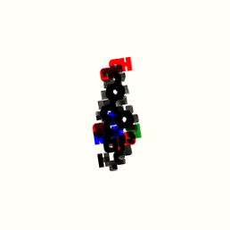 CCOC(=O)N(c1ccccc1Cl)c1c(C)noc1-c1ccc(-c2ccc(CC(=O)O)cc2)cn1